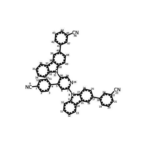 N#Cc1ccc(-c2cc(-n3c4ccccc4c4cc(-c5cccc(C#N)c5)ccc43)ncc2-n2c3ccccc3c3cc(-c4cccc(C#N)c4)ccc32)cc1